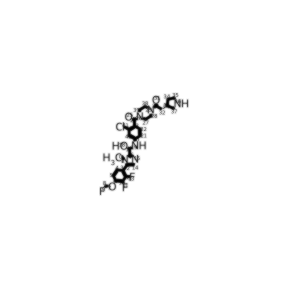 Cn1c(-c2ccc(OCF)c(F)c2F)cnc1C(O)Nc1ccc(C(=O)N2CCN(C(=O)C[C@@H]3CCNC3)CC2)c(Cl)c1